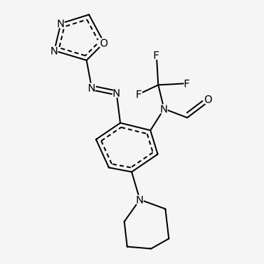 O=CN(c1cc(N2CCCCC2)ccc1N=Nc1nnco1)C(F)(F)F